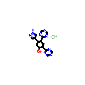 Cl.Oc1cc(-c2cn[nH]c2)c(-c2ncncn2)cc1-c1ncncn1